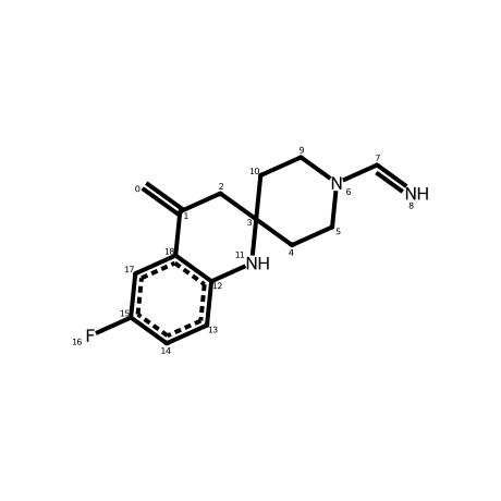 C=C1CC2(CCN(C=N)CC2)Nc2ccc(F)cc21